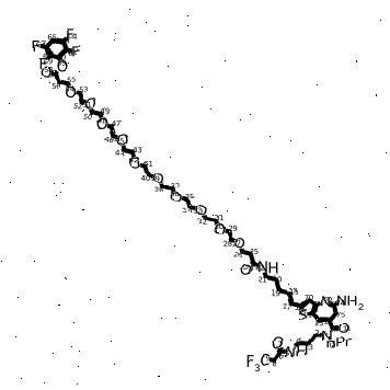 CCCN(CCCNC(=O)CC(F)(F)F)C(=O)C1=Cc2sc(CCCCCNC(=O)CCOCCOCCOCCOCCOCCOCCOCCOCCOCCOCCC(=O)Oc3c(F)c(F)cc(F)c3F)cc2N=C(N)C1